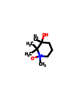 CC1(O)CCC[N+](C)([O-])C1(C)C